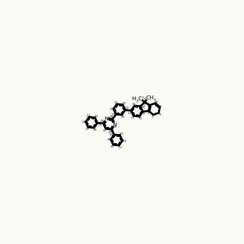 CC1(C)C2=C(CCC=C2)c2ccc(-c3cccc(-c4nc(-c5ccccc5)cc(-c5ccccc5)n4)c3)cc21